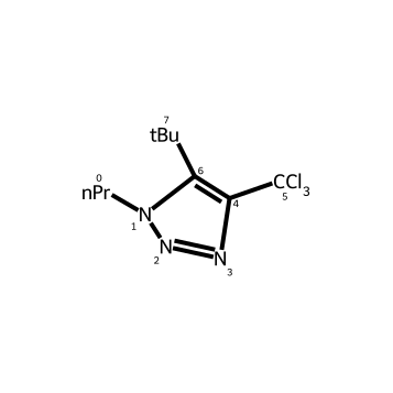 CCCn1nnc(C(Cl)(Cl)Cl)c1C(C)(C)C